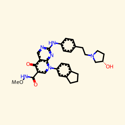 CONC(=O)c1cn(-c2ccc3c(c2)CCC3)c2nc(Nc3ccc(CCN4CC[C@H](O)C4)cc3)ncc2c1=O